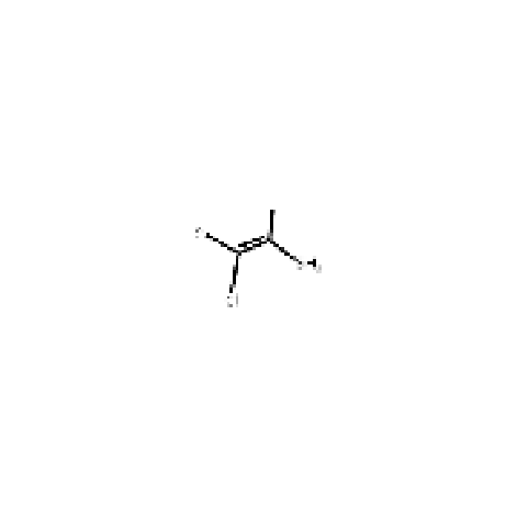 CC([SiH3])=C(Cl)Cl